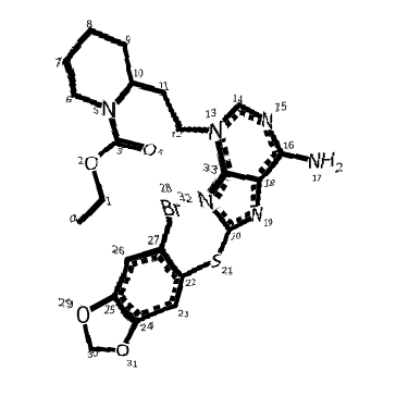 CCOC(=O)N1CCCCC1CCn1cnc(N)c2nc(Sc3cc4c(cc3Br)OCO4)nc1-2